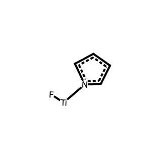 [F][Ti][n]1cccc1